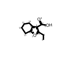 CCc1oc2c(c1C(=O)O)CCCC2